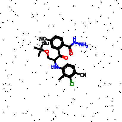 Cc1c(NC(CO[Si](C)(C)C(C)(C)C)C(=O)c2cc(C#N)ccc2C(=O)NN)ccc(C#N)c1Cl